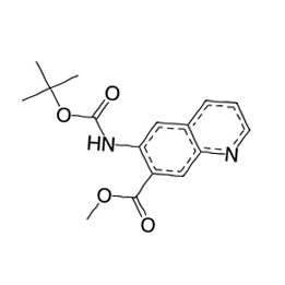 COC(=O)c1cc2ncccc2cc1NC(=O)OC(C)(C)C